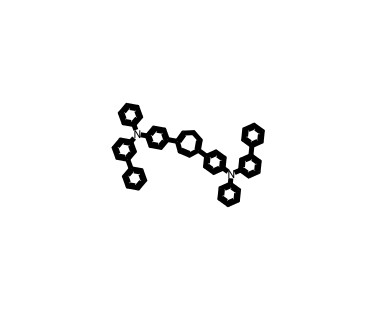 C1=CC(c2ccc(N(c3ccccc3)c3cccc(-c4ccccc4)c3)cc2)=CCC=C1c1ccc(N(c2ccccc2)c2cccc(-c3ccccc3)c2)cc1